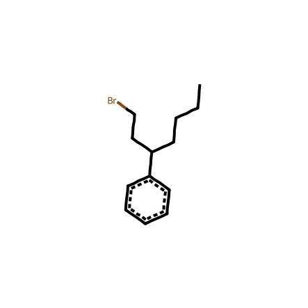 CCCCC(CCBr)c1ccccc1